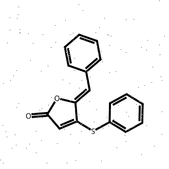 O=C1C=C(Sc2ccccc2)/C(=C/c2ccccc2)O1